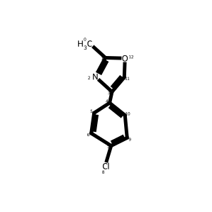 Cc1nc(-c2ccc(Cl)cc2)co1